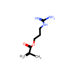 C=C(C)C(=O)OCCCNC(=N)N